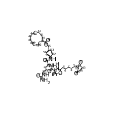 CC(C)[C@H](NC(=O)CCCCCN1C(=O)C=CC1=O)C(=O)N[C@@H](CCCNC(N)=O)C(=O)Nc1ccc(COC(=O)C2CCCCCCCCCCC2)cc1